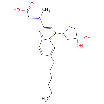 CCCCCCc1ccc2nc(N(C)CC(=O)O)cc(N3CCC(O)(O)C3)c2c1